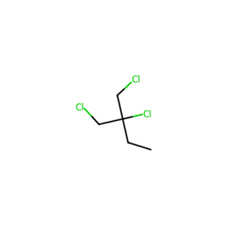 CCC(Cl)(CCl)CCl